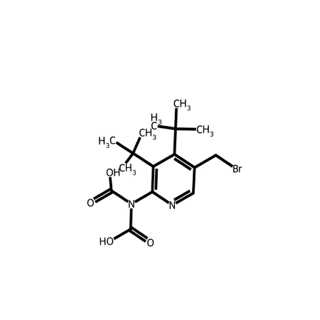 CC(C)(C)c1c(CBr)cnc(N(C(=O)O)C(=O)O)c1C(C)(C)C